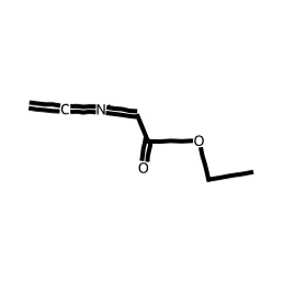 C=C=[N+]=CC(=O)OCC